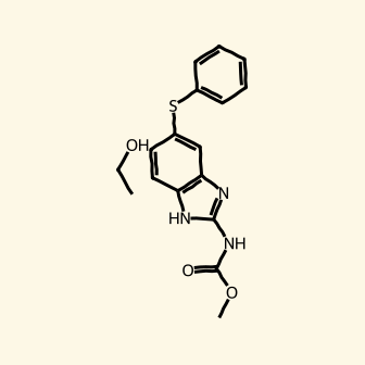 CCO.COC(=O)Nc1nc2cc(Sc3ccccc3)ccc2[nH]1